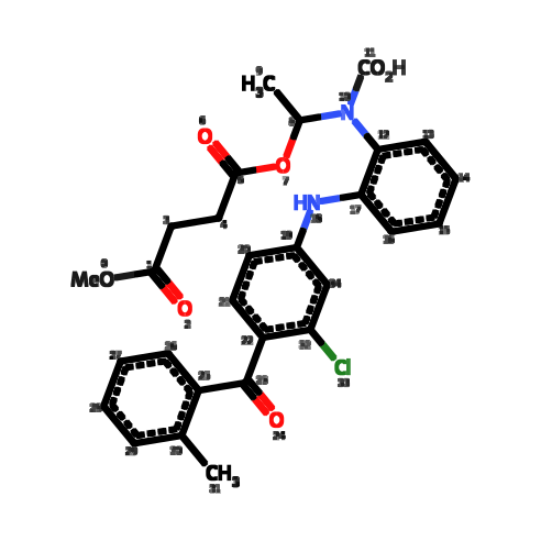 COC(=O)CCC(=O)OC(C)N(C(=O)O)c1ccccc1Nc1ccc(C(=O)c2ccccc2C)c(Cl)c1